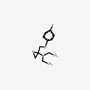 CCN(CC)C1(COc2ccc(F)cc2)CO1